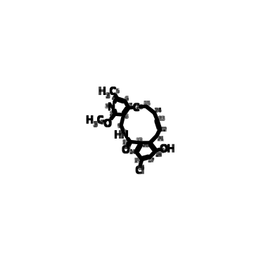 COc1nc(C)cc2c1CNC(=O)c1cc(Cl)cc(O)c1C/C=C/CCC2